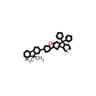 CC1(C)c2ccccc2-c2ccc(-c3ccc4c(c3)oc3cc5c(cc34)-c3ccccc3C5(c3ccccc3)c3ccccc3)cc21